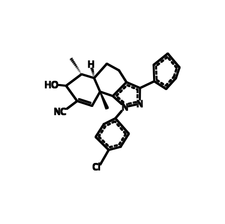 C[C@H]1C(O)C(C#N)=C[C@@]2(C)c3c(c(-c4ccccc4)nn3-c3ccc(Cl)cc3)CC[C@H]12